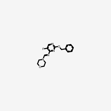 Fc1cnc(OCc2ccccc2)nc1/N=C/N1CCOCC1